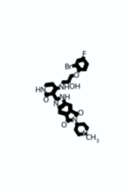 CN1CCC(N2C(=O)c3cc4nc(-c5c(NCC(O)COc6ccc(F)cc6Br)cc[nH]c5=O)[nH]c4cc3C2=O)CC1